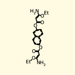 CCOC(N)=CC(=O)Oc1ccc2cc(OC(=O)C=C(N)OCC)ccc2c1